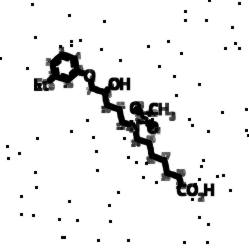 CCc1cccc(OCC(O)CCCN(CCCCCCC(=O)O)S(C)(=O)=O)c1